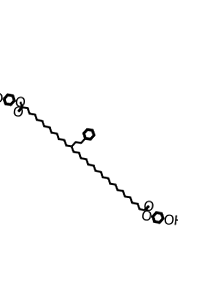 O=C(CCCCCCCCCCCCCCCCCCCC(CCCCCCCCCCCCC(=O)Oc1ccc(O)cc1)CCc1ccccc1)Oc1ccc(O)cc1